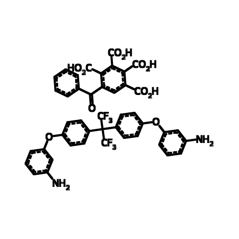 Nc1cccc(Oc2ccc(C(c3ccc(Oc4cccc(N)c4)cc3)(C(F)(F)F)C(F)(F)F)cc2)c1.O=C(O)c1cc(C(=O)c2ccccc2)c(C(=O)O)c(C(=O)O)c1C(=O)O